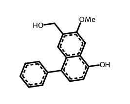 COc1cc2c(O)ccc(-c3ccccc3)c2cc1CO